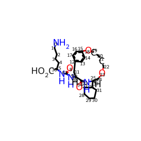 NCCCCC(NC(=O)N[C@@H]1Cc2ccc(cc2)OCCCCOC[C@H](C2CCCCC2)NC1=O)C(=O)O